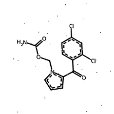 NC(=O)OCn1cccc1C(=O)c1ccc(Cl)cc1Cl